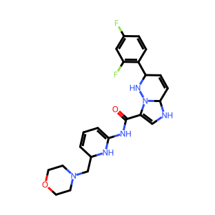 O=C(NC1=CC=CC(CN2CCOCC2)N1)C1=CNC2C=CC(c3ccc(F)cc3F)NN12